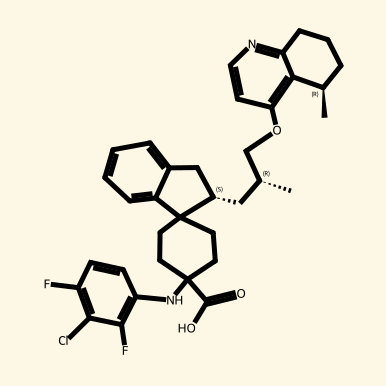 C[C@@H](COc1ccnc2c1[C@H](C)CCC2)C[C@H]1Cc2ccccc2C12CCC(Nc1ccc(F)c(Cl)c1F)(C(=O)O)CC2